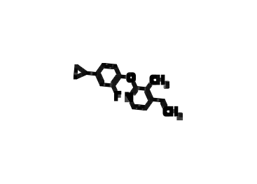 C=Cc1ccnc(Oc2ccc(C3CC3)cc2F)c1C